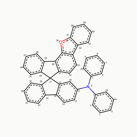 c1ccc(N(c2ccccc2)c2ccc3c(c2)C2(c4ccccc4-3)c3ccccc3-c3c2ccc2c3oc3ccccc32)cc1